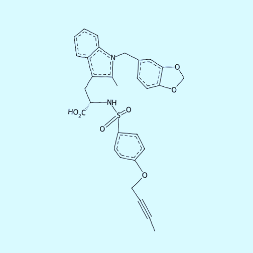 CC#CCOc1ccc(S(=O)(=O)N[C@@H](Cc2c(C)n(Cc3ccc4c(c3)OCO4)c3ccccc23)C(=O)O)cc1